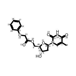 Cc1cn([C@H]2C[C@H](O)[C@@H](COC(=O)COc3ccccc3)O2)c(=O)[nH]c1=O